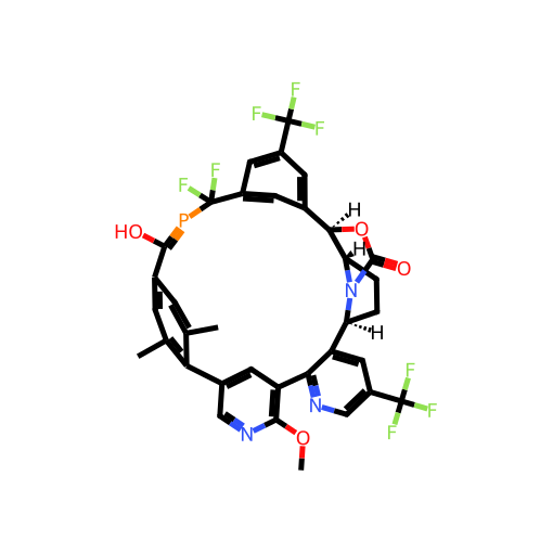 COc1ncc2cc1-c1ncc(C(F)(F)F)cc1[C@@H]1CC[C@H]3[C@H](OC(=O)N13)c1cc(C(F)(F)F)cc(c1)C(F)(F)/P=C(/O)c1cc(C)c-2c(C)c1